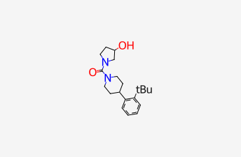 CC(C)(C)c1ccccc1C1CCN(C(=O)N2CCC(O)C2)CC1